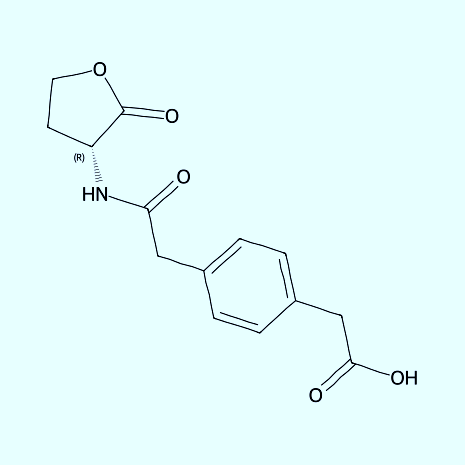 O=C(O)Cc1ccc(CC(=O)N[C@@H]2CCOC2=O)cc1